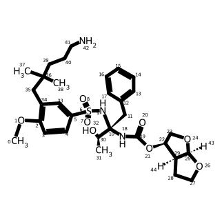 COc1ccc(S(=O)(=O)N[C@](Cc2ccccc2)(NC(=O)O[C@H]2CO[C@H]3OCC[C@H]32)[C@@H](C)O)cc1CC(C)(C)CCCN